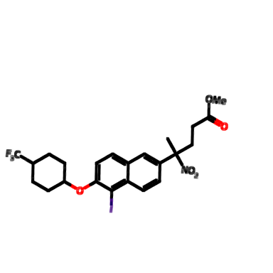 COC(=O)CCC(C)(c1ccc2c(I)c(OC3CCC(C(F)(F)F)CC3)ccc2c1)[N+](=O)[O-]